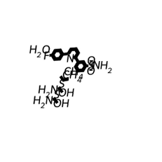 C.C.C=CC.NC(O)=S.NC(O)=S.NS(=O)(=O)c1cccc(-c2cccc(-c3ccc(F)cc3)n2)c1.O